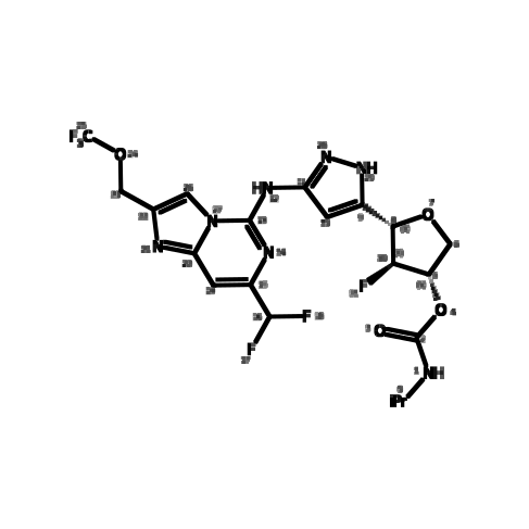 CC(C)NC(=O)O[C@H]1CO[C@@H](c2cc(Nc3nc(C(F)F)cc4nc(COC(F)(F)F)cn34)n[nH]2)[C@@H]1F